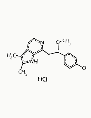 COC(Cc1nccc2c(C)c(C)[nH]c12)c1ccc(Cl)cc1.Cl